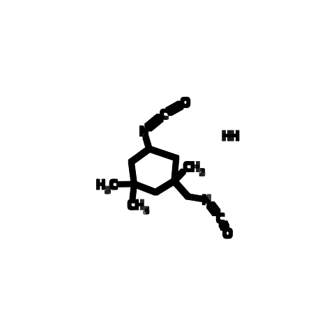 CC1(C)CC(N=C=O)CC(C)(CN=C=O)C1.[HH]